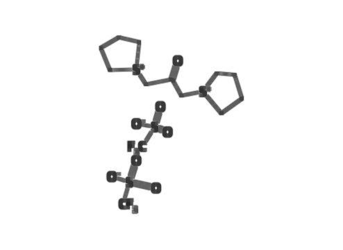 O=C(C[S+]1CCCC1)C[S+]1CCCC1.O=S(=O)([O-])C(F)(F)F.O=S(=O)([O-])C(F)(F)F